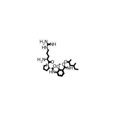 CCC(C)[C@H](NC(=O)c1cccc(NC(=O)[C@@H]2CCCN2C(=O)[C@@H](N)CCCNC(=N)N)c1OC)C(C)=O